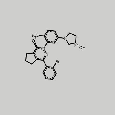 O=c1c2c(c(-c3ccccc3Br)nn1-c1cc(N3CC[C@H](O)C3)ccc1C(F)(F)F)CCC2